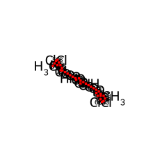 CN1Cc2c(Cl)cc(Cl)cc2C(c2ccc3c(c2)C(=O)N(CCOCCOCCNC(=O)OC2COC4C(OC(=O)NCCOCCOCCN5Cc6ccc(C7CN(C)Cc8c(Cl)cc(Cl)cc87)cc6C5=O)COC24)C3)C1